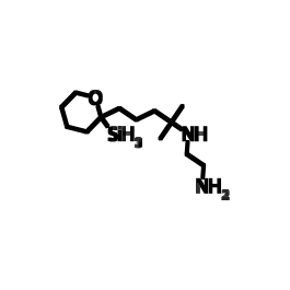 CC(C)(CCCC1([SiH3])CCCCO1)NCCN